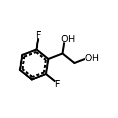 OCC(O)c1c(F)cccc1F